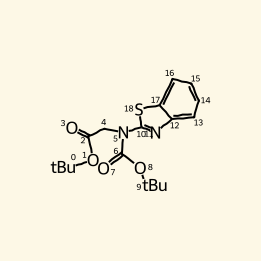 CC(C)(C)OC(=O)CN(C(=O)OC(C)(C)C)c1nc2ccccc2s1